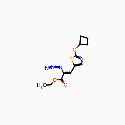 CCOC(=O)C(=Cc1cnc(OC2CCC2)s1)N=[N+]=[N-]